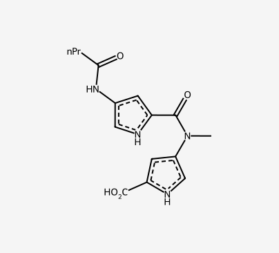 CCCC(=O)Nc1c[nH]c(C(=O)N(C)c2c[nH]c(C(=O)O)c2)c1